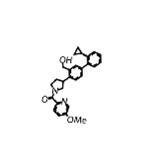 COc1ccc(C(=O)N2CCC(c3ccc(-c4ccccc4C4CC4)cc3CO)C2)nc1